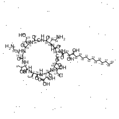 C/C=C1\NC(=O)[C@H]([C@H](C)O)NC(=O)[C@H](CCCN)NC(=O)[C@@H](CCO)NC(=O)CNC(=O)[C@@H](CCN)NC(=O)[C@@H](NC(=O)CC(O)C(O)CCCCCCCCCCCC)COC(=O)[C@H]([C@H](O)CCl)NC(=O)[C@H](C(O)C(=O)O)NC1=O